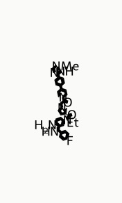 CCN(C(=O)[C@@H]1CCN(CC(=O)N2CC=C(c3ccc(C(=N)/N=C\NC)cc3)CC2)C1)c1ccc(N)c(C(=N)c2ccc(F)cc2)c1